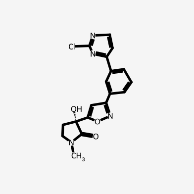 CN1CC[C@@](O)(c2cc(-c3cccc(-c4ccnc(Cl)n4)c3)no2)C1=O